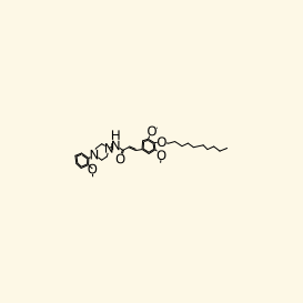 CCCCCCCCCCOc1c(OC)cc(C=CC(=O)NN2CCN(c3ccccc3OC)CC2)cc1OC